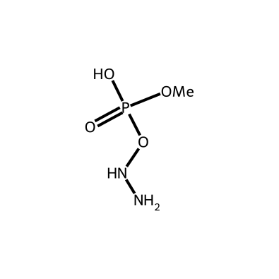 COP(=O)(O)ONN